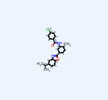 Cc1ccc(-c2nc3cc(C(C)C)ccc3o2)cc1NC(=O)c1ccc(Cl)cc1